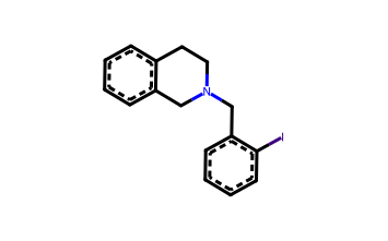 Ic1ccccc1CN1CCc2ccccc2C1